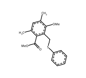 COC(=O)c1c(C)cc(C)c(OC)c1CSc1ccccc1